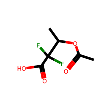 CC(=O)OC(C)C(F)(F)C(=O)O